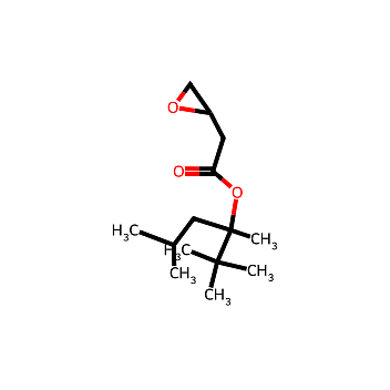 CC(C)CC(C)(OC(=O)CC1CO1)C(C)(C)C